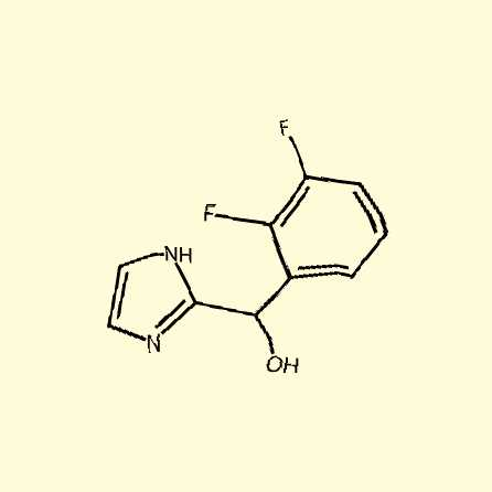 OC(c1ncc[nH]1)c1cccc(F)c1F